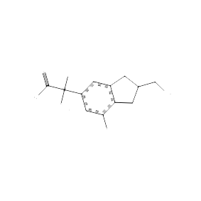 CC(C)(C(N)=O)c1cc(F)c2c(c1)CC(CO)C2